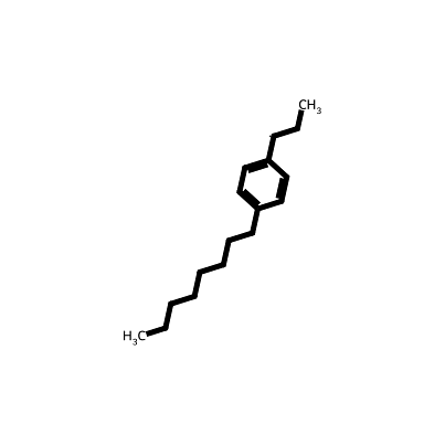 CC[CH]c1ccc(CCCCCCCC)cc1